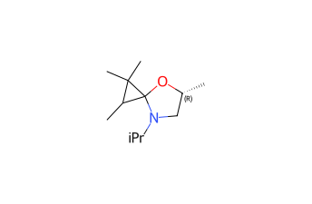 CC(C)N1C[C@@H](C)OC12C(C)C2(C)C